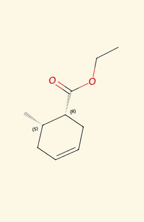 CCOC(=O)[C@@H]1CC=CC[C@@H]1C